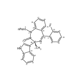 CCCCCN1C(=O)[C@@](C)(c2c[nH]c3ccccc23)N=C(c2ccccc2F)c2ccccc21